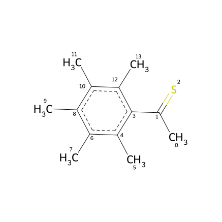 CC(=S)c1c(C)c(C)c(C)c(C)c1C